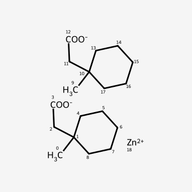 CC1(CC(=O)[O-])CCCCC1.CC1(CC(=O)[O-])CCCCC1.[Zn+2]